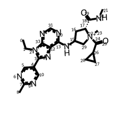 CCn1c(-c2cnc(C)nc2)nc2c(NC3C[C@H](C(=O)NC)[N+](C)(C(=O)C4CC4)C3)ncnc21